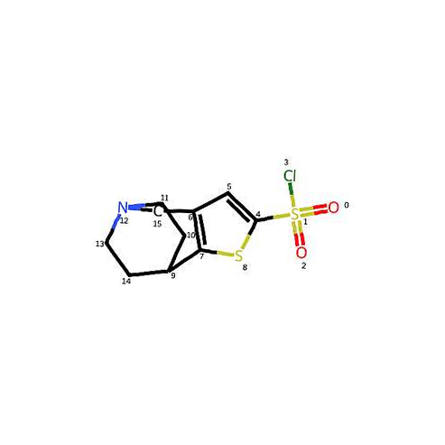 O=S(=O)(Cl)c1cc2c(s1)C1CCN(CC1)C2